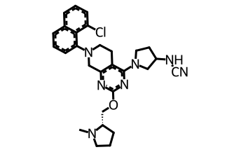 CN1CCC[C@H]1COc1nc2c(c(N3CCC(NC#N)C3)n1)CCN(c1cccc3cccc(Cl)c13)C2